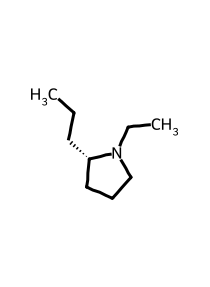 CCC[C@H]1CCCN1CC